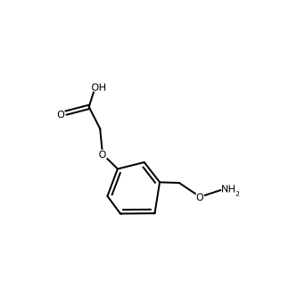 NOCc1cccc(OCC(=O)O)c1